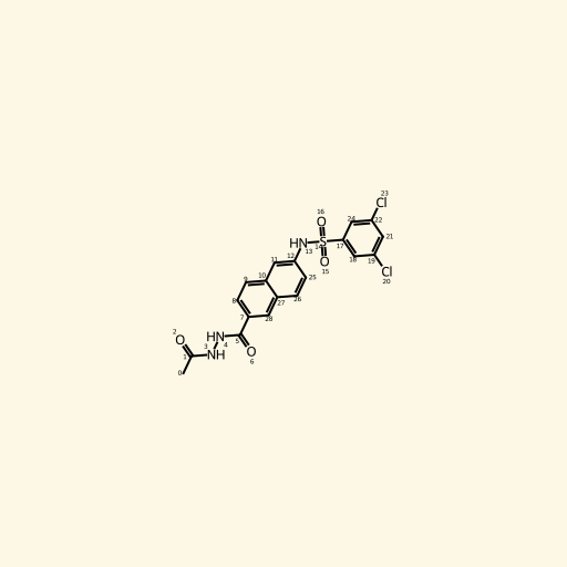 CC(=O)NNC(=O)c1ccc2cc(NS(=O)(=O)c3cc(Cl)cc(Cl)c3)ccc2c1